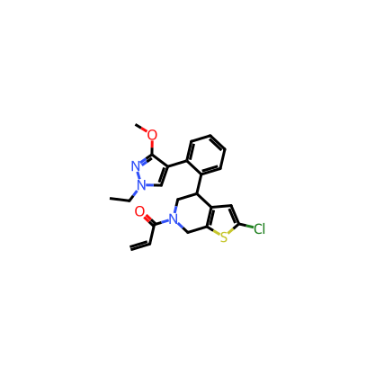 C=CC(=O)N1Cc2sc(Cl)cc2C(c2ccccc2-c2cn(CC)nc2OC)C1